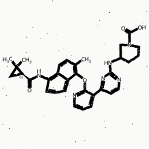 Cc1ccc2c(NC(=O)[C@H]3CC3(C)C)cccc2c1Oc1ncccc1-c1ccnc(NC2CCCN(C(=O)O)C2)n1